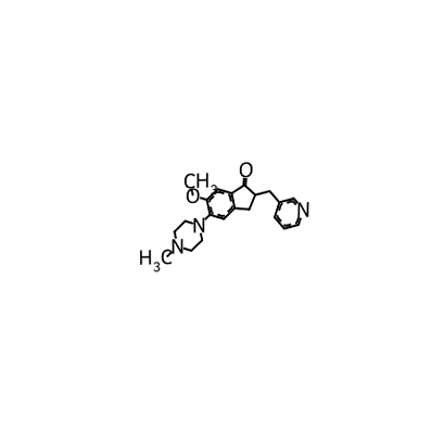 COc1cc2c(cc1N1CCN(C)CC1)CC(Cc1cccnc1)C2=O